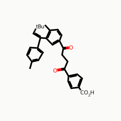 Cc1ccc(/C(=C/C(C)(C)C)c2cc(C(=O)CCC(=O)c3ccc(C(=O)O)cc3)ccc2C)cc1